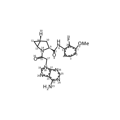 COc1cccc(NC(=O)[C@@H]2C[C@H]3CC3N2C(=O)Cn2cnc3c(N)ncnc32)c1F